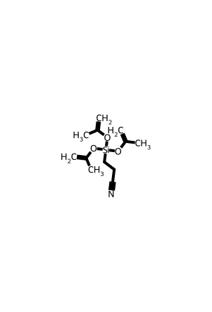 C=C(C)O[Si](CCC#N)(OC(=C)C)OC(=C)C